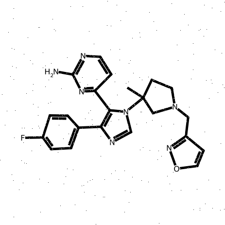 CC1(n2cnc(-c3ccc(F)cc3)c2-c2ccnc(N)n2)CCN(Cc2ccon2)C1